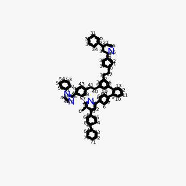 Cc1cnc(-c2ccc(-c3ccccc3-c3cc(CCc4ccc(C5=NC=CC(c6ccccc6)C5)cc4)cc(CCc4ccc(-c5nccn5-c5ccccc5)cc4)c3)cc2)cc1-c1ccc(-c2ccccc2)cc1